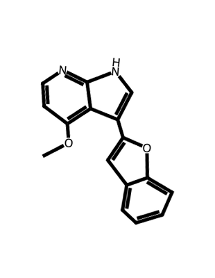 COc1ccnc2[nH]cc(-c3cc4ccccc4o3)c12